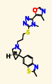 Cc1nc2ccc(C34C[C@H]3CN(CCCSc3nnc(-c5ocnc5C)n3C)C4)cc2s1